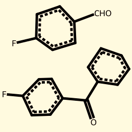 O=C(c1ccccc1)c1ccc(F)cc1.O=Cc1ccc(F)cc1